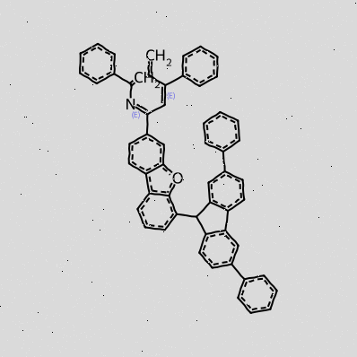 C=C/C(=C\C(=N/C(=C)c1ccccc1)c1ccc2c(c1)oc1c(C3c4ccc(-c5ccccc5)cc4-c4ccc(-c5ccccc5)cc43)cccc12)c1ccccc1